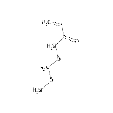 C=CC(=O)[SiH2]O[SiH2]O[SiH3]